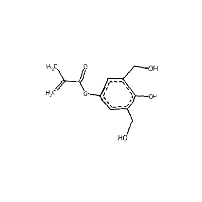 C=C(C)C(=O)Oc1cc(CO)c(O)c(CO)c1